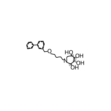 O[C@H]1[C@H](O)[C@@H](O)CN(CCCCCOCc2cccc(-c3ccccc3)c2)C[C@@H]1O